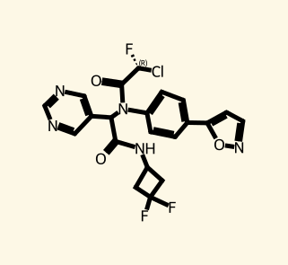 O=C(NC1CC(F)(F)C1)C(c1cncnc1)N(C(=O)[C@H](F)Cl)c1ccc(-c2ccno2)cc1